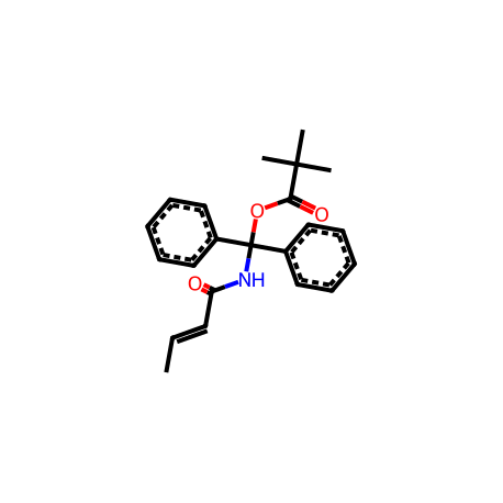 CC=CC(=O)NC(OC(=O)C(C)(C)C)(c1ccccc1)c1ccccc1